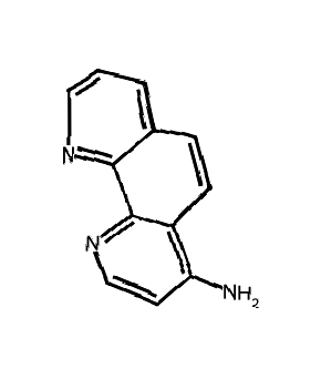 Nc1ccnc2c1ccc1cccnc12